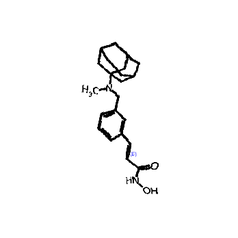 CN(Cc1cccc(/C=C/C(=O)NO)c1)C12CC3CC(CC(C3)C1)C2